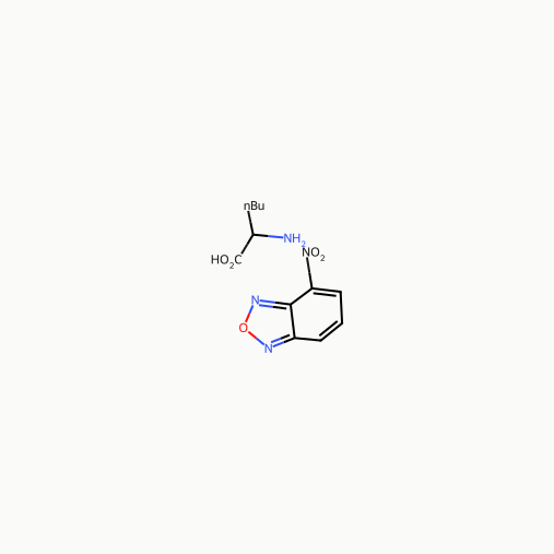 CCCCC(N)C(=O)O.O=[N+]([O-])c1cccc2nonc12